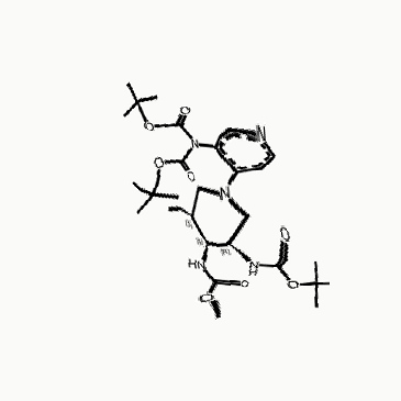 COC(=O)N[C@H]1[C@@H](C)CN(c2ccncc2N(C(=O)OC(C)(C)C)C(=O)OC(C)(C)C)C[C@H]1NC(=O)OC(C)(C)C